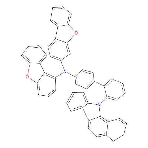 C1=Cc2c(ccc3c4ccccc4n(-c4ccccc4-c4ccc(N(c5ccc6c(c5)oc5ccccc56)c5cccc6oc7ccccc7c56)cc4)c23)CC1